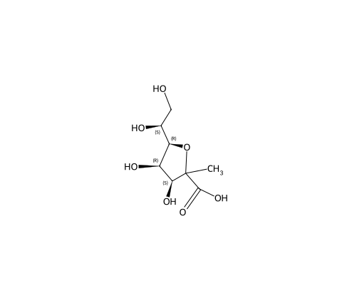 CC1(C(=O)O)O[C@H]([C@@H](O)CO)[C@H](O)[C@@H]1O